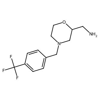 NCC1CN(Cc2ccc(C(F)(F)F)cc2)CCO1